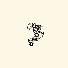 NC1[C@H](O)OC(CO)[C@H](O)[C@H]1COC[C@@H]1OC(C(=O)NNc2nncc3ccccc23)[C@@H](O)[C@@H](O)C1O